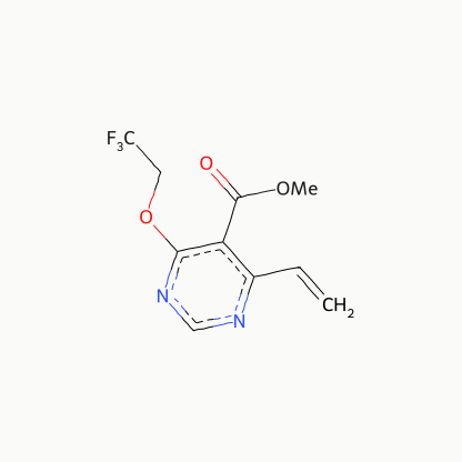 C=Cc1ncnc(OCC(F)(F)F)c1C(=O)OC